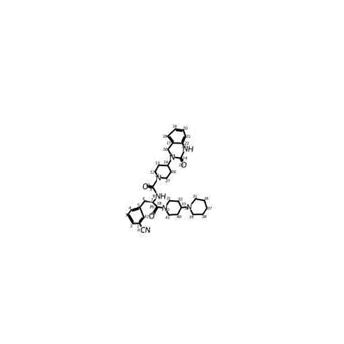 N#Cc1cccc(C[C@@H](NC(=O)N2CCC(N3Cc4ccccc4NC3=O)CC2)C(=O)N2CCC(N3CCCCC3)CC2)c1